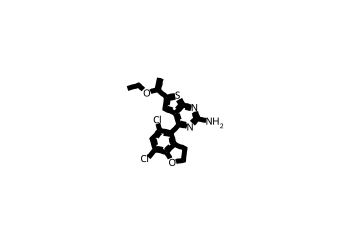 C=C(OCC)c1cc2c(-c3c(Cl)cc(Cl)c4c3CCO4)nc(N)nc2s1